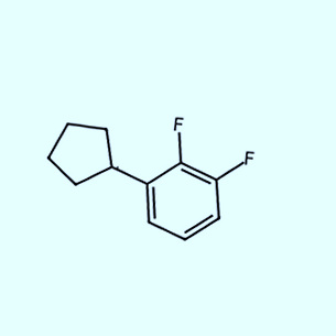 Fc1cccc([C]2CCCC2)c1F